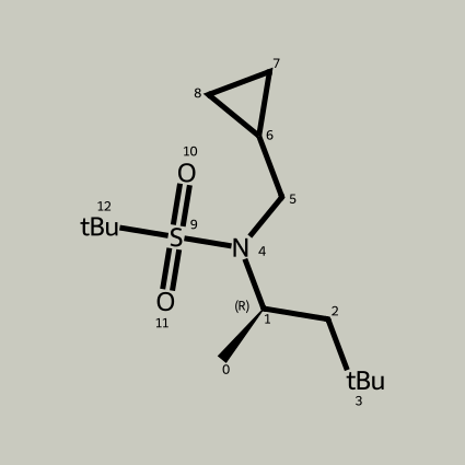 C[C@H](CC(C)(C)C)N(CC1CC1)S(=O)(=O)C(C)(C)C